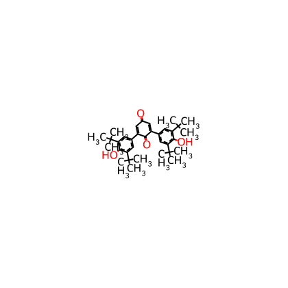 CC(C)(C)c1cc(C2=CC(=O)C=C(c3cc(C(C)(C)C)c(O)c(C(C)(C)C)c3)C2=O)cc(C(C)(C)C)c1O